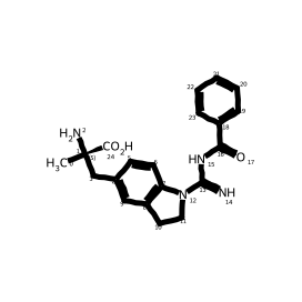 C[C@](N)(Cc1ccc2c(c1)CCN2C(=N)NC(=O)c1ccccc1)C(=O)O